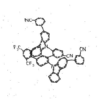 N#Cc1cccc(-c2ccc3c(c2)c2ccccc2n3-c2ccc(C#N)cc2-c2cc(-c3ccc(C(F)(F)F)cc3C(F)(F)F)ccc2-n2c3ccccc3c3cc(-c4cccc(C#N)c4)ccc32)c1